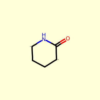 O=C1[CH]CC[CH]N1